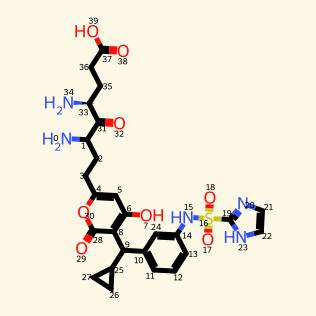 NC(CCc1cc(O)c(C(c2cccc(NS(=O)(=O)c3ncc[nH]3)c2)C2CC2)c(=O)o1)C(=O)[C@@H](N)CCC(=O)O